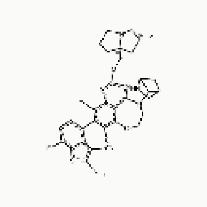 N#Cc1c(N)sc2c(F)ccc(-c3c(Cl)c4c5c(nc(OC[C@@]67CCCN6C[C@H](F)C7)nc5c3F)N(C3C5CNC3C5)CCO4)c12